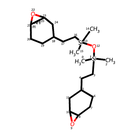 C[Si](C)(CCC1CCC2OC2C1)O[Si](C)(C)CCC1CC[C@H]2OC2C1